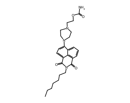 CCCCCCCN1C(=O)c2cccc3c(N4CCN(CCOC(N)=O)CC4)ccc(c23)C1=O